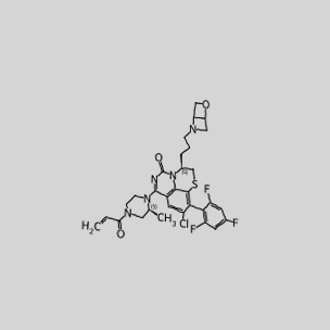 C=CC(=O)N1CCN(c2nc(=O)n3c4c(c(-c5c(F)cc(F)cc5F)c(Cl)cc24)SC[C@@H]3CCCN2CC3OCC32)[C@@H](C)C1